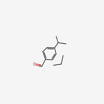 CC(C)c1ccc(C=O)cc1.CCC